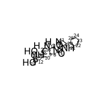 NC[C@H](NS(=O)(=O)N1C[C@H](CCCB(O)O)[C@](N)(C(=O)O)C1)c1ccccc1